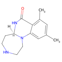 Cc1cc(C)c2c(c1)N1CCNCC[C@H]1NC2=O